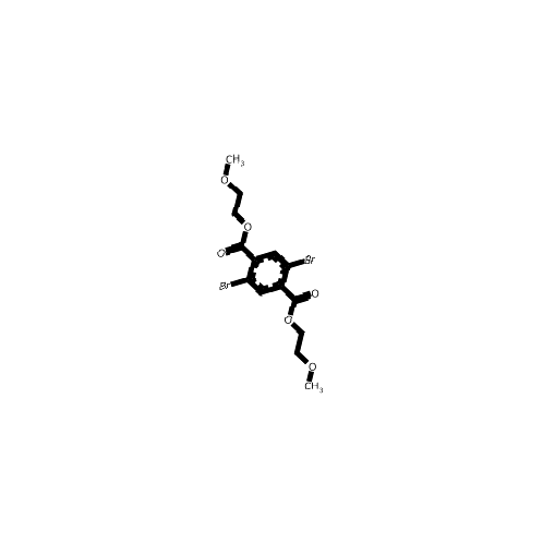 COCCOC(=O)c1cc(Br)c(C(=O)OCCOC)cc1Br